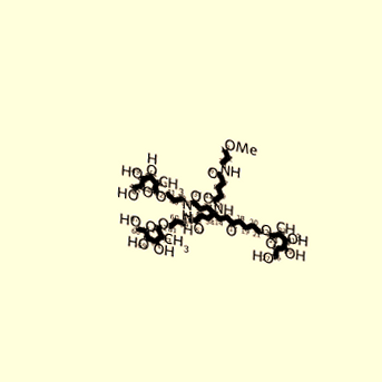 COCCCNC(=O)CCCC(=O)NC(CCC(=O)CCCCO[C@@H]1OC(CO)[C@H](O)[C@H](O)C1C)(CCC(=O)NCCCO[C@@H]1OC(CO)[C@H](O)[C@H](O)C1C)CCC(=O)NCCCO[C@@H]1OC(CO)[C@H](O)[C@H](O)C1C